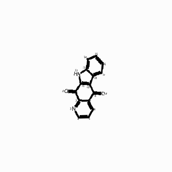 O=C1c2ncccc2C(=O)c2c1[nH]c1ccccc21